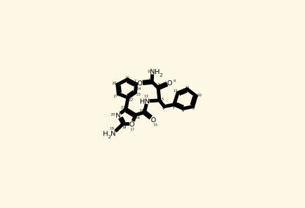 NC(=O)C(=O)C(Cc1ccccc1)NC(=O)c1oc(N)nc1-c1ccccc1